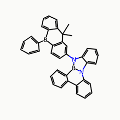 CC1(C)c2ccccc2B(c2ccccc2)c2ccc(N3B4c5ccccc5-c5ccccc5N4c4ccccc43)cc21